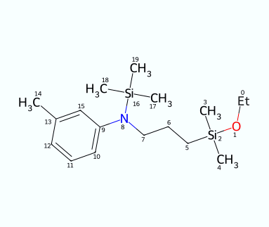 CCO[Si](C)(C)CCCN(c1cccc(C)c1)[Si](C)(C)C